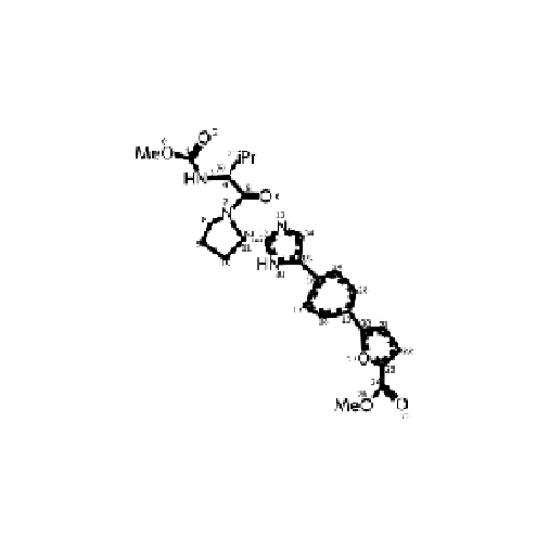 COC(=O)N[C@H](C(=O)N1CCC[C@H]1c1ncc(-c2ccc(-c3ccc(C(=O)OC)o3)cc2)[nH]1)C(C)C